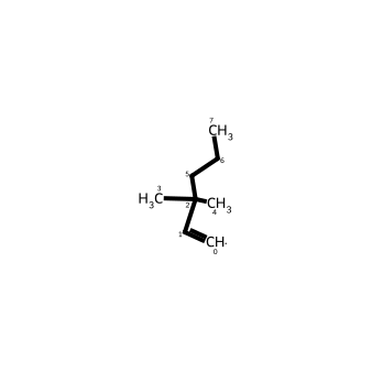 [CH]=CC(C)(C)CCC